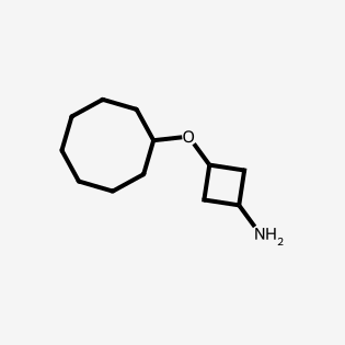 NC1CC(OC2CCCCCCC2)C1